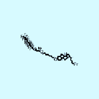 CC(C)CCC[C@@H](C)C1CCC2[C@@H]3CC=C4C[C@@H](OCCCCCCCCOCC(COCC(F)(F)C(F)(F)C(F)(F)C(F)(F)C(F)(F)C(F)(F)C(F)(F)C(F)F)N(C)C)CC[C@]4(C)C3CC[C@@]21C